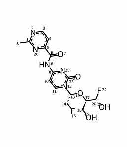 Cc1nccc(C(=O)Nc2ccn([C@@H](CF)O[C@H](CO)[C@@H](O)F)c(=O)n2)n1